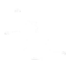 CCCc1cc2cc(C(C)C)cccc-2c1CC